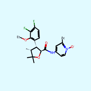 CCOc1c([C@@H]2[C@@H](C(=O)Nc3cc[n+]([O-])c(C(C)=O)c3)OC(C)(C)[C@@H]2C)ccc(F)c1F